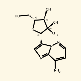 C[C@@]1(C#N)[C@H](O)[C@@H](CO)O[C@H]1c1cnc2c(N)ccnn12